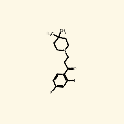 CC1(C)CCN(CCC(=O)c2ccc(F)cc2I)CC1